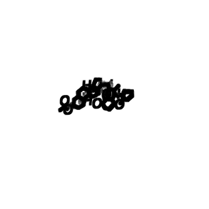 CCC(OC1=C2Nc3ccccc3OC2=CCC1=O)[C@@H](C)[C@H]1CC[C@H]2[C@@H]3CC=C4C[C@@H](OC(C)=O)CC[C@]4(C)[C@H]3CC[C@]12C